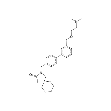 CN(C)CCOCc1cccc(-c2ccc(CN3CC4(CCCCC4)OC3=O)cc2)c1